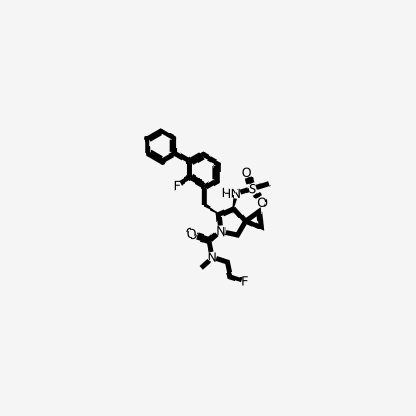 CN(CCF)C(=O)N1CC2(CC2)[C@H](NS(C)(=O)=O)[C@@H]1Cc1cccc(-c2ccccc2)c1F